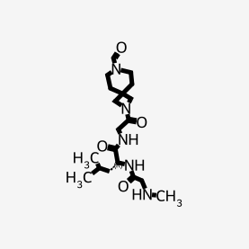 CNCC(=O)N[C@H](CC(C)C)C(=O)NCC(=O)N1CC2(CCN(C=O)CC2)C1